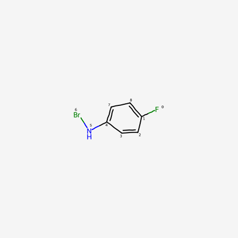 Fc1ccc(NBr)cc1